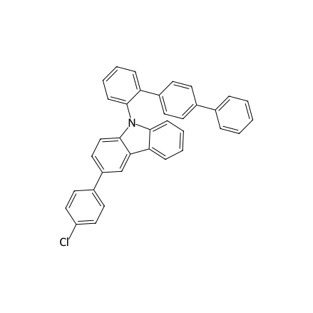 Clc1ccc(-c2ccc3c(c2)c2ccccc2n3-c2ccccc2-c2ccc(-c3ccccc3)cc2)cc1